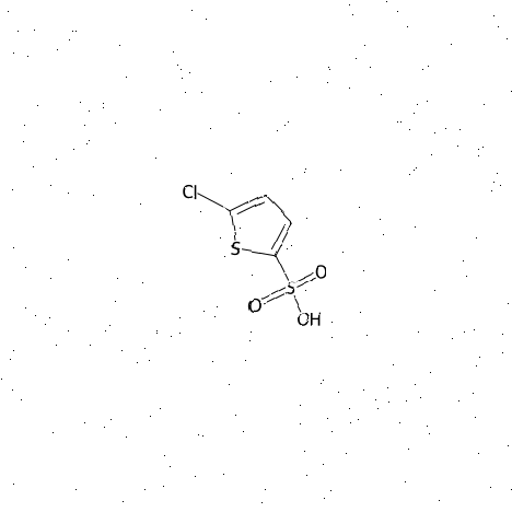 O=S(=O)(O)c1ccc(Cl)s1